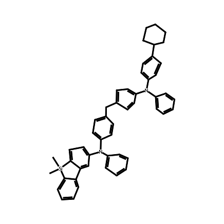 C[Si]1(C)c2ccccc2-c2cc(N(c3ccccc3)c3ccc(Cc4ccc(N(c5ccccc5)c5ccc(C6CCCCC6)cc5)cc4)cc3)ccc21